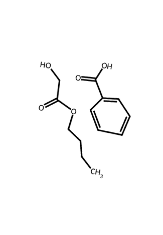 CCCCOC(=O)CO.O=C(O)c1ccccc1